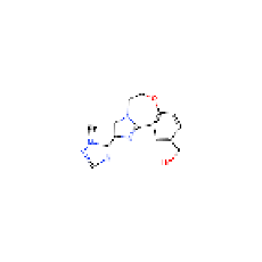 CC(C)n1ncnc1-c1cn2c(n1)-c1cc(CO)ccc1OCC2